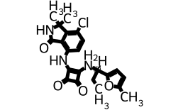 [2H][C@](CC)(Nc1c(Nc2ccc(Cl)c3c2C(=O)NC3(C)C)c(=O)c1=O)c1ccc(C)o1